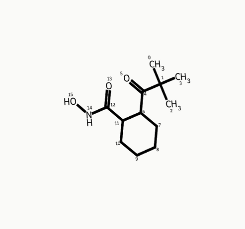 CC(C)(C)C(=O)C1CCCCC1C(=O)NO